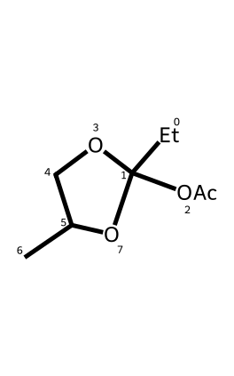 CCC1(OC(C)=O)OCC(C)O1